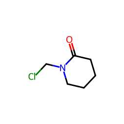 O=C1CCCCN1CCl